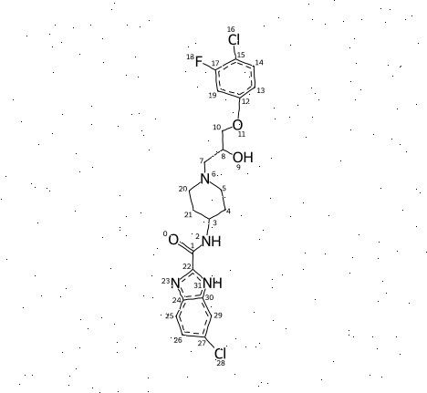 O=C(NC1CCN(CC(O)COc2ccc(Cl)c(F)c2)CC1)c1nc2ccc(Cl)cc2[nH]1